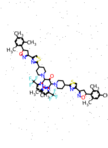 Cc1cc(C)c(C2CC(c3csc(C4CCN(C(Cn5nc(C(F)(F)F)cc5C)C(=O)C(Cn5nc(C(F)(F)F)cc5C)N5CCC(c6nc(C7=NOC(c8c(C)cc(C)cc8C)C7)cs6)CC5)CC4)n3)=NO2)c(C)c1